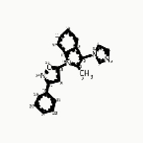 Cc1c(-n2ccnc2)c2ccccc2n1-c1cc(-c2ccccc2)no1